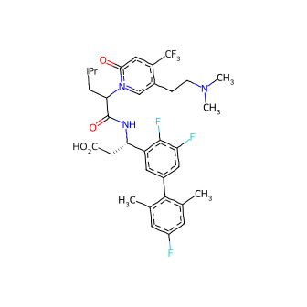 Cc1cc(F)cc(C)c1-c1cc(F)c(F)c([C@H](CC(=O)O)NC(=O)C(CC(C)C)n2cc(CCN(C)C)c(C(F)(F)F)cc2=O)c1